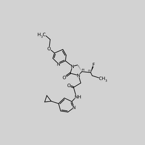 CCOc1ccc(N2C[C@H]([C@@H](F)CC)N(CC(=O)Nc3cc(C4CC4)ccn3)C2=O)nc1